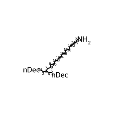 CCCCCCCCCCCCC(CCCCCCCCCCCC)CCCCCCCCCCCCCCCCCN